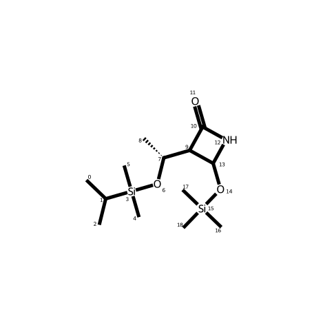 CC(C)[Si](C)(C)O[C@H](C)C1C(=O)NC1O[Si](C)(C)C